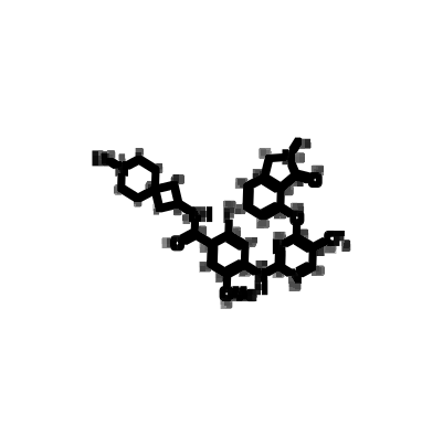 CCN1CCC2(CC1)CC(NC(=O)c1cc(OC)c(Nc3ncc(C(F)(F)F)c(Oc4cccc5c4C(=O)N(C)C5)n3)cc1F)C2